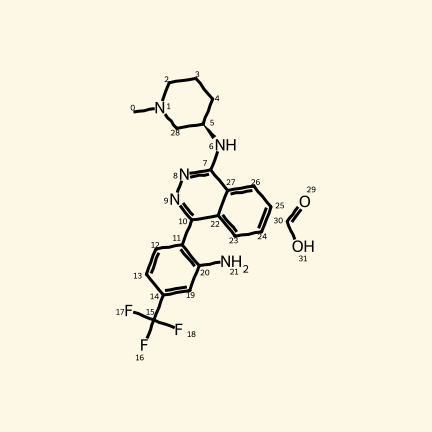 CN1CCC[C@@H](Nc2nnc(-c3ccc(C(F)(F)F)cc3N)c3ccccc23)C1.O=CO